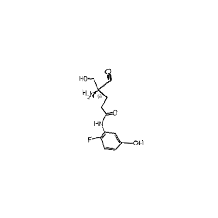 N[C@](C=O)(CO)CCC(=O)Nc1cc(O)ccc1F